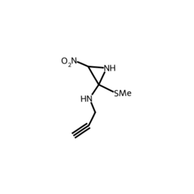 C#CCNC1(SC)NC1[N+](=O)[O-]